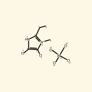 CCc1[nH]c(Cl)c(Cl)[n+]1C.[Cl][Al-]([Cl])([Cl])[Cl]